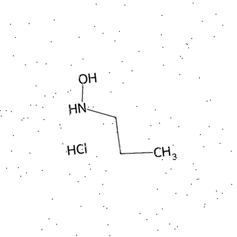 CCCNO.Cl